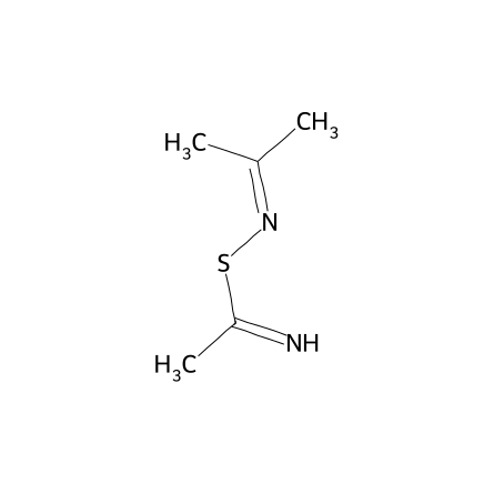 CC(=N)SN=C(C)C